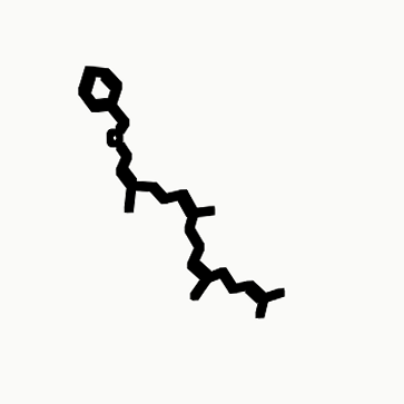 CC(C)=CCCC(C)=CCCC(C)=CCCC(C)=CCOCc1ccccc1